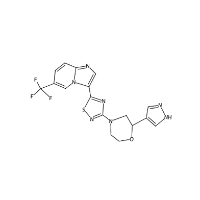 FC(F)(F)c1ccc2ncc(-c3nc(N4CCOC(c5cn[nH]c5)C4)ns3)n2c1